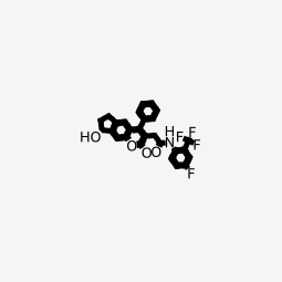 O=C(Cc1c(-c2ccccc2)c2cc3c(cc2oc1=O)C(O)CC3)Nc1ccc(F)cc1C(F)(F)F